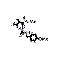 C=C(C(=O)N(C)OC)/C(Cl)=N\N=C(/C)NCc1ccc(OC)cc1